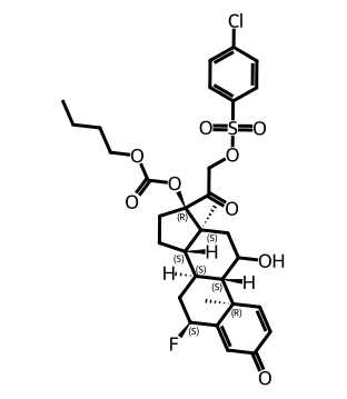 CCCCOC(=O)O[C@]1(C(=O)COS(=O)(=O)c2ccc(Cl)cc2)CC[C@H]2[C@@H]3C[C@H](F)C4=CC(=O)C=C[C@]4(C)[C@H]3C(O)C[C@@]21C